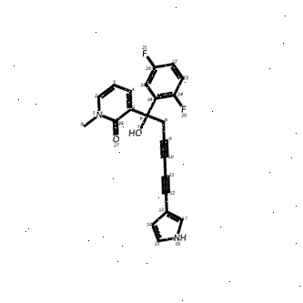 Cn1cccc(C(O)(CC#CC#Cc2cc[nH]c2)c2cc(F)ccc2F)c1=O